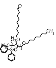 CCCCCCCCOCC(COCCCCCCCCC=O)O[Si](c1ccccc1)(c1ccccc1)C(C)(C)C